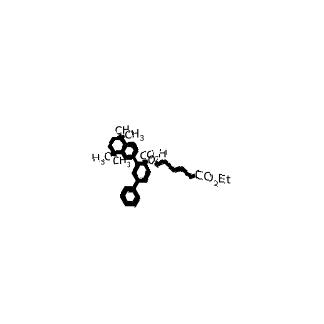 CCOC(=O)CCCCCOC1(C(=O)O)C=CC(c2ccccc2)C=C1c1ccc2c(c1)C(C)(C)CCC2(C)C